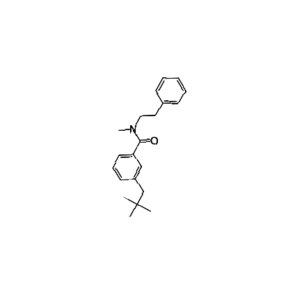 CN(CCc1ccccc1)C(=O)c1cccc(CC(C)(C)C)c1